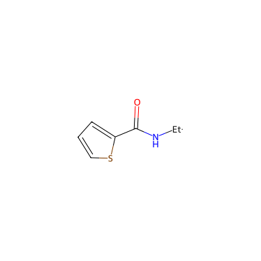 C[CH]NC(=O)c1cccs1